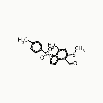 CSc1cc(C)c2c(ccn2S(=O)(=O)c2ccc(C)cc2)c1C=O